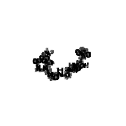 CCN(C)CC(=O)OC1OC(=O)CN(C)CCN(CCN(CC)CC(=O)NCc2cccc(C(=O)NCC(=O)N[C@@H](CCCCN3C(=O)C=CC3=O)C(=O)O)c2)CC(=O)O1